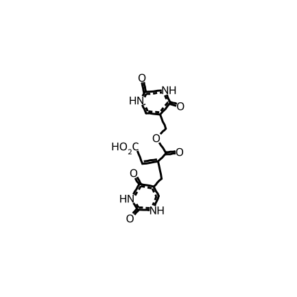 O=C(O)C=C(Cc1c[nH]c(=O)[nH]c1=O)C(=O)OCc1c[nH]c(=O)[nH]c1=O